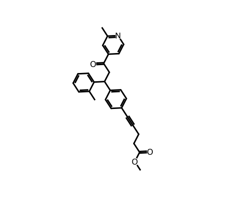 COC(=O)CCC#Cc1ccc(C(CC(=O)c2ccnc(C)c2)c2ccccc2C)cc1